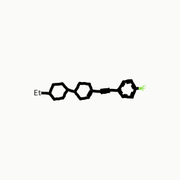 CCC1CCC(C2CC=C(C#Cc3ccc(F)cc3)CC2)CC1